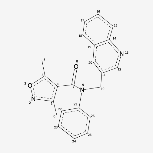 Cc1noc(C)c1C(=O)N(Cc1cnc2ccccc2c1)c1ccccc1